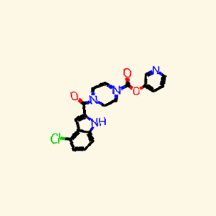 O=C(Oc1cccnc1)N1CCN(C(=O)c2cc3c(Cl)cccc3[nH]2)CC1